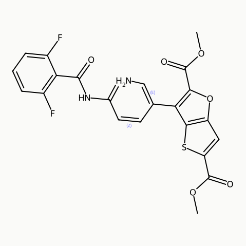 C=C(/C=C\C(=C/N)c1c(C(=O)OC)oc2cc(C(=O)OC)sc12)NC(=O)c1c(F)cccc1F